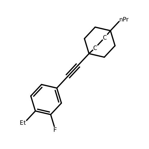 CCCC12CCC(C#Cc3ccc(CC)c(F)c3)(CC1)CC2